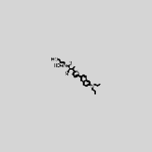 CCCN(CCC)c1ccc2cc(-c3ccc(/C(C)=C(\C#N)C(=O)NCC(O)CO)s3)ccc2c1